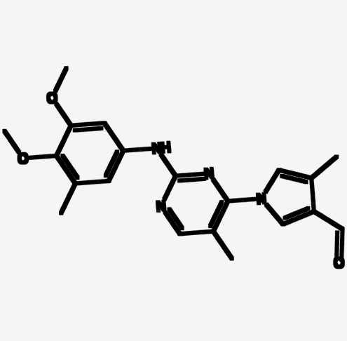 COc1cc(Nc2ncc(C)c(-n3cc(C)c(C=O)c3)n2)cc(C)c1OC